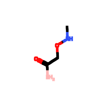 BC(=O)CONC